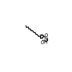 CCCCCCCCCCCCc1ccc(C(=O)N2CCC[C@H]2CO)cc1